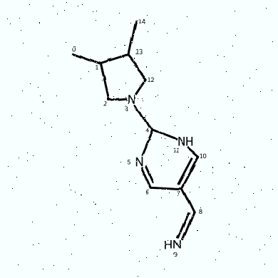 CC1CN(C2N=CC(C=N)=CN2)CC1C